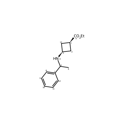 CCOC(=O)[C@H]1C[C@@H](NC(C)c2ccccc2)C1